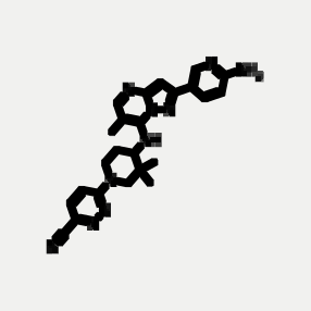 Cc1cnc2cc(-c3ccc(N)nc3)nn2c1NC1CCN(c2ccc(C#N)nn2)CC1(C)C